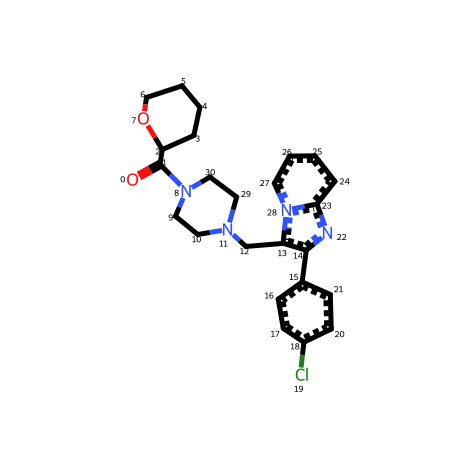 O=C(C1CCCCO1)N1CCN(Cc2c(-c3ccc(Cl)cc3)nc3ccccn23)CC1